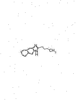 CCCCc1nc2cc3ccccc3cc2[nH]1